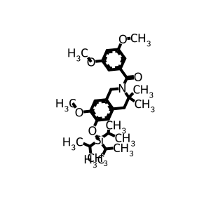 COc1cc(OC)cc(C(=O)N2Cc3cc(OC)c(O[Si](C(C)C)(C(C)C)C(C)C)cc3CC2(C)C)c1